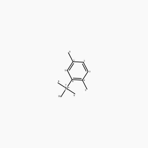 Cc1ccc(C)c([N+](C)(C)C)c1